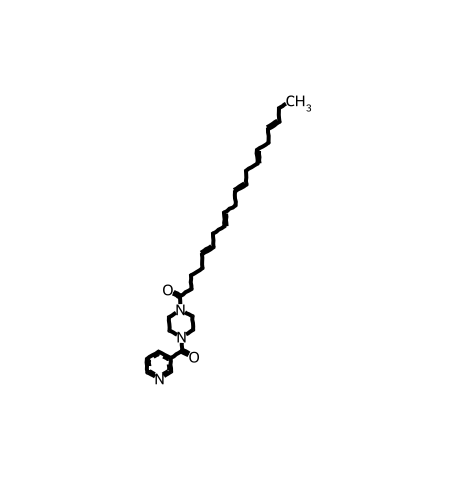 CCC=CCC=CCC=CCC=CCC=CCCCC(=O)N1CCN(C(=O)c2cccnc2)CC1